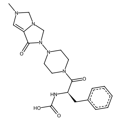 CN1C=C2C(=O)N(N3CCN(C(=O)[C@@H](Cc4ccccc4)NC(=O)O)CC3)CN2C1